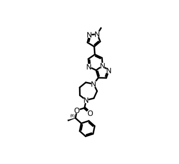 C[C@@H](OC(=O)N1CCCN(c2cnn3cc(-c4cnn(C)c4)cnc23)CC1)c1ccccc1